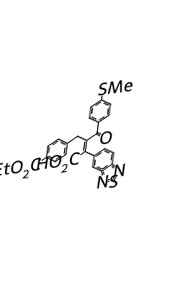 CCOC(=O)c1ccc(C/C(C(=O)c2ccc(SC)cc2)=C(\C(=O)O)c2ccc3nsnc3c2)cc1